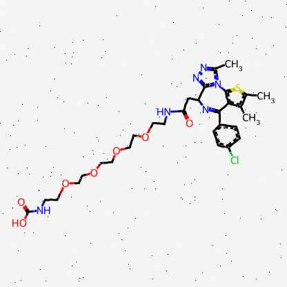 Cc1sc2c(c1C)C(c1ccc(Cl)cc1)=NC(CC(=O)NCCOCCOCCOCCOCCNC(=O)O)c1nnc(C)n1-2